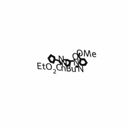 CCCCc1nc2cccc(C(=O)OC)c2n1Cc1ccn2c(C(=O)OCC)c(-c3ccccc3)nc2c1